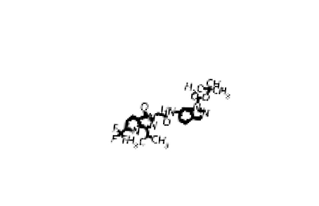 CC(C)c1nn(CC(=O)Nc2ccc3cnn(C(=O)OC(C)(C)C)c3c2)c(=O)c2ccc(C(F)(F)F)nc12